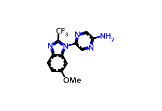 COc1ccc2nc(C(F)(F)F)n(-c3cnc(N)cn3)c2c1